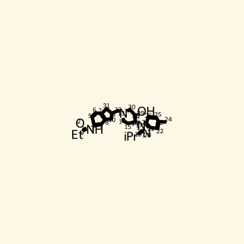 CCC(=O)Nc1ccc2c(c1)CC(CN1CC[C@@H](n3c(C(C)C)nc4cc(C)ccc43)[C@H](O)C1)C2